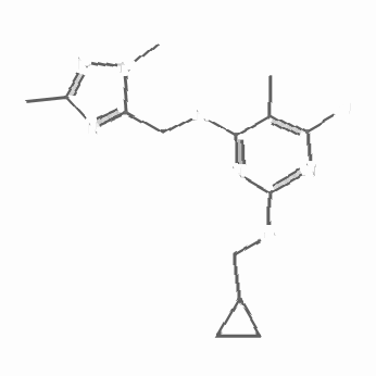 Cc1nc(CNc2nc(OCC3CC3)nc(Cl)c2C)n(C)n1